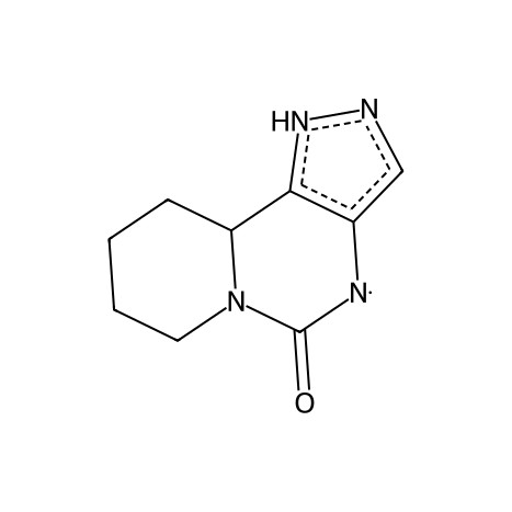 O=C1[N]c2cn[nH]c2C2CCCCN12